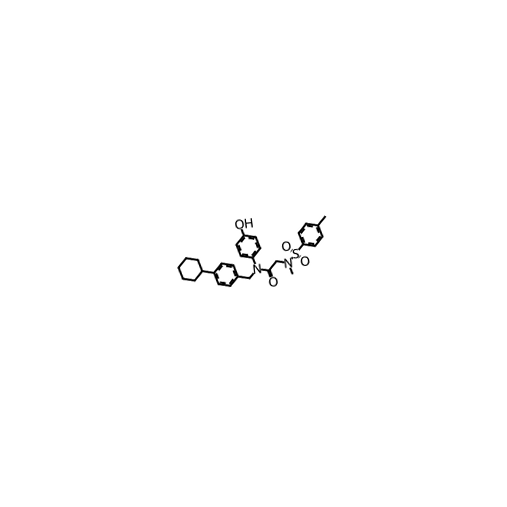 Cc1ccc(S(=O)(=O)N(C)CC(=O)N(Cc2ccc(C3CCCCC3)cc2)c2ccc(O)cc2)cc1